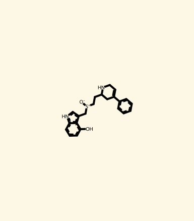 [O-][S+](CCC1CC(c2ccccc2)=CCN1)Cc1c[nH]c2cccc(O)c12